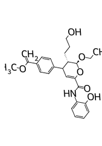 C=C(OC)c1ccc(C2C=C(C(=O)Nc3ccccc3O)O[C@H](OCC)[C@H]2CCCO)cc1